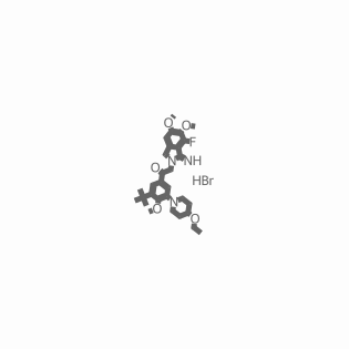 Br.CCOC1CCN(c2cc(C(=O)CN3Cc4cc(OC)c(OC)c(F)c4C3=N)cc(C(C)(C)C)c2OC)CC1